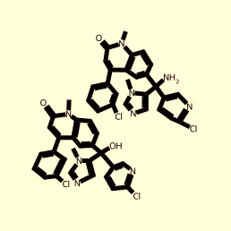 Cn1cncc1C(N)(c1ccc(Cl)nc1)c1ccc2c(c1)c(-c1cccc(Cl)c1)cc(=O)n2C.Cn1cncc1C(O)(c1ccc(Cl)nc1)c1ccc2c(c1)c(-c1cccc(Cl)c1)cc(=O)n2C